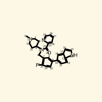 CN1CCC(N(Cc2cc(-c3ccc4[nH]ccc4c3)ccc2F)C(=O)c2ccccn2)CC1